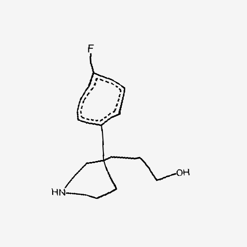 OCCC1(c2ccc(F)cc2)CCNC1